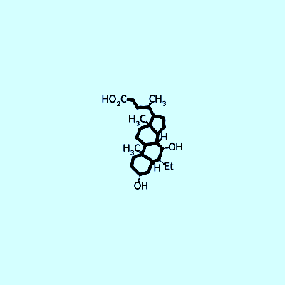 CC[C@H]1[C@@H](O)[C@H]2C3CCC([C@H](C)CCC(=O)O)[C@@]3(C)CCC2[C@@]2(C)CC[C@@H](O)C[C@@H]12